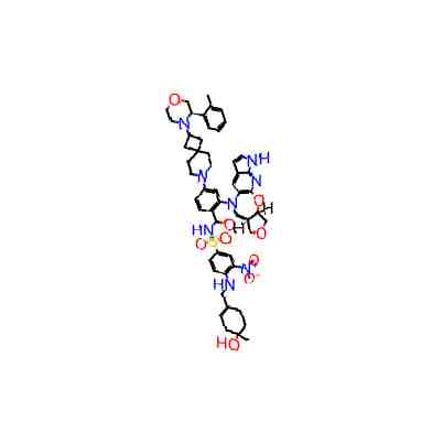 Cc1ccccc1[C@@H]1COCCN1C1CC2(CCN(c3ccc(C(=O)NS(=O)(=O)c4ccc(NCC5CCC(C)(O)CC5)c([N+](=O)[O-])c4)c(N4C[C@@H]5COC[C@H]5Oc5nc6[nH]ccc6cc54)c3)CC2)C1